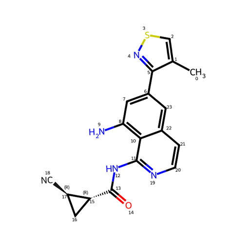 Cc1csnc1-c1cc(N)c2c(NC(=O)[C@@H]3C[C@H]3C#N)nccc2c1